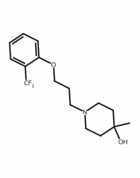 CC1(O)CCN(CCCOc2ccccc2C(F)(F)F)CC1